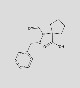 O=CN(OCc1ccccc1)C1(C(=O)O)CCCC1